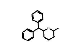 CC1CCCC(C(c2ccccc2)c2ccccc2)O1